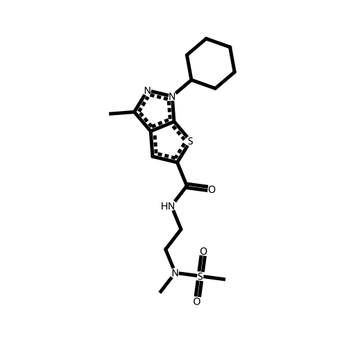 Cc1nn(C2CCCCC2)c2sc(C(=O)NCCN(C)S(C)(=O)=O)cc12